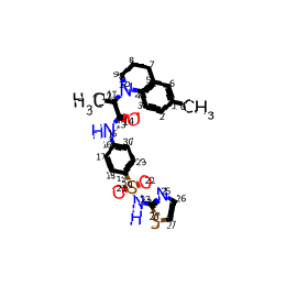 Cc1ccc2c(c1)CCCN2C(C)C(=O)Nc1ccc(S(=O)(=O)Nc2nccs2)cc1